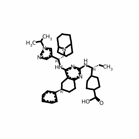 CC[C@@H](Nc1nc2c(c(N[C@@H](CN3C4CCCC3CCC4)c3cnn(C(C)C)c3)n1)C[C@H](c1ccccc1)CC2)C1CCC(C(=O)O)CC1